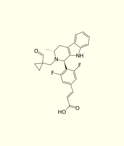 C[C@@H]1Cc2c([nH]c3ccccc23)[C@@H](c2c(F)cc(C=CC(=O)O)cc2F)N1CC1(C=O)CC1